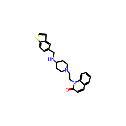 O=c1ccc2ccccc2n1CCN1CCC(NCc2ccc3sccc3c2)CC1